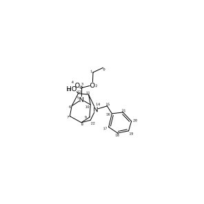 CCOC(=O)N1C2CC3CC1C(C2O)N(Cc1ccccc1)C3